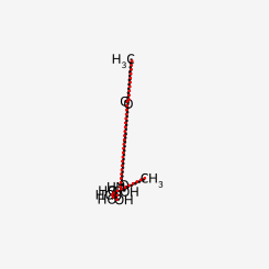 CC=CCCC=CCCC=CC(O)C(COC1OC(CO)C(O)C(O)C1O)NC(=O)CCCCCCCCCCCCCCCCCCCC=CCC=CCCCCCCCCCCCCCOC(=O)CCCCCCCCCC=CCC=CCCCCCC